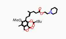 COc1c(C)c2c(c(OC(=O)C(C)(C)C)c1C/C=C(\C)CCC(=O)OCCN1CCCCC1)C(=O)OC2